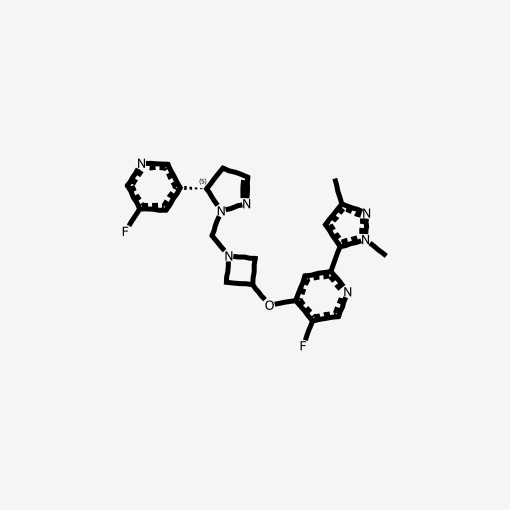 Cc1cc(-c2cc(OC3CN(CN4N=CC[C@H]4c4cncc(F)c4)C3)c(F)cn2)n(C)n1